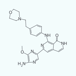 COc1nc(-c2cc3cc[nH]c(=O)c3c(Nc3ccc(CCN4CCOCC4)cc3)n2)cnc1N